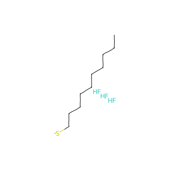 CCCCCCCCCC[S].F.F.F